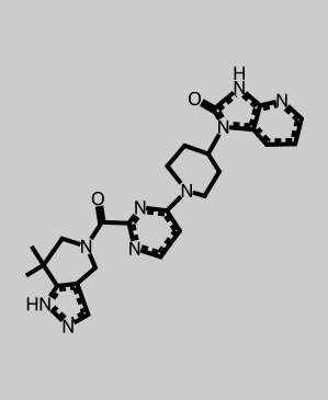 CC1(C)CN(C(=O)c2nccc(N3CCC(n4c(=O)[nH]c5ncccc54)CC3)n2)Cc2cn[nH]c21